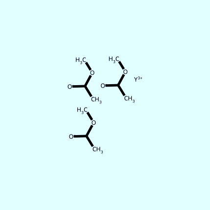 COC(C)[O-].COC(C)[O-].COC(C)[O-].[Y+3]